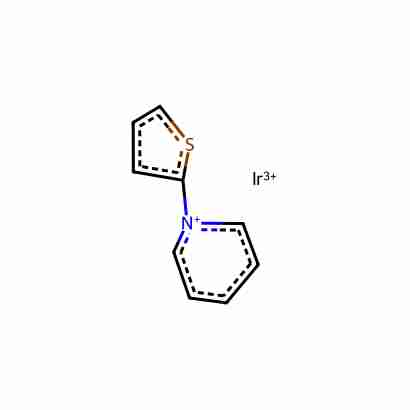 [Ir+3].c1cc[n+](-c2cccs2)cc1